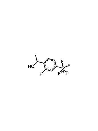 CC(O)c1ccc([SH](F)(F)(F)F)cc1F